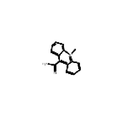 C[n+]1c2ccccc2c(C(N)=O)c2ccccc21